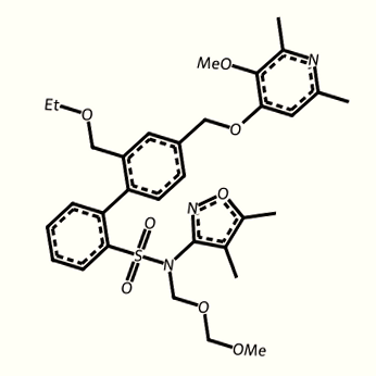 CCOCc1cc(COc2cc(C)nc(C)c2OC)ccc1-c1ccccc1S(=O)(=O)N(COCOC)c1noc(C)c1C